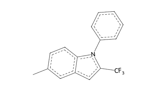 Cc1ccc2c(c1)cc(C(F)(F)F)n2-c1ccccc1